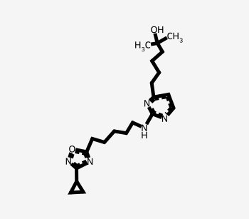 CC(C)(O)CCCCc1ccnc(NCCCCCc2nc(C3CC3)no2)n1